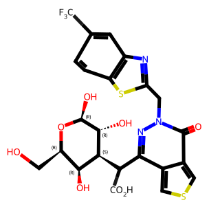 O=C(O)C(c1nn(Cc2nc3cc(C(F)(F)F)ccc3s2)c(=O)c2cscc12)[C@@H]1[C@@H](O)[C@H](O)O[C@H](CO)[C@@H]1O